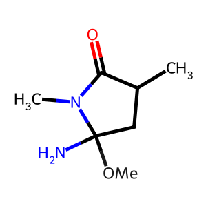 COC1(N)CC(C)C(=O)N1C